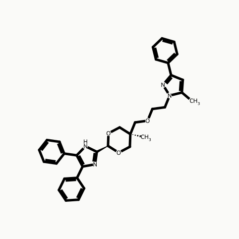 Cc1cc(-c2ccccc2)nn1CCOC[C@]1(C)CO[C@H](c2nc(-c3ccccc3)c(-c3ccccc3)[nH]2)OC1